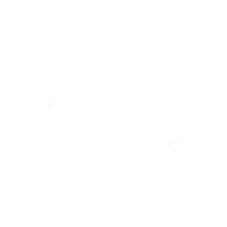 COCc1cc(OC(=O)c2cccc([N+](=O)[O-])c2)ccc1-c1ccc2c(c1COc1cc(F)ccc1C)C(C)=CC(C)(C)N2